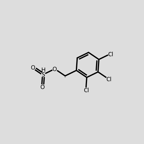 O=[SH](=O)O[CH]c1ccc(Cl)c(Cl)c1Cl